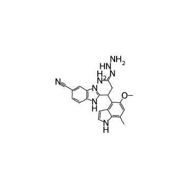 COc1cc(C)c2[nH]ccc2c1C(C/C(N)=N/NN)c1nc2cc(C#N)ccc2[nH]1